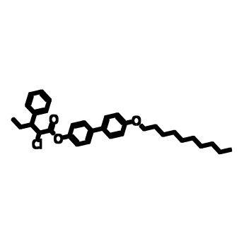 CCCCCCCCCCOc1ccc(-c2ccc(OC(=O)C(Cl)C(CC)c3ccccc3)cc2)cc1